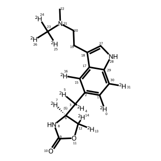 [2H]c1c(C([2H])([2H])[C@]2([2H])NC(=O)OC2([2H])[2H])c([2H])c2c(CCN(C)C([2H])([2H])[2H])c[nH]c2c1[2H]